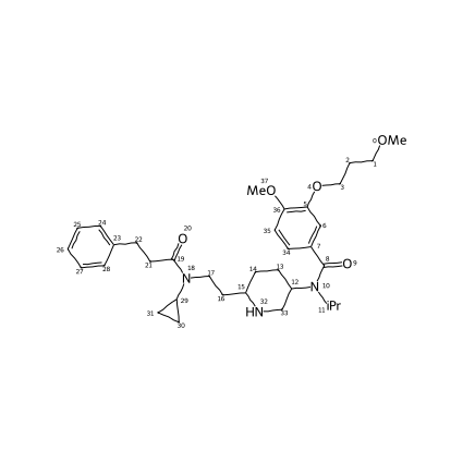 COCCCOc1cc(C(=O)N(C(C)C)C2CCC(CCN(C(=O)CCc3ccccc3)C3CC3)NC2)ccc1OC